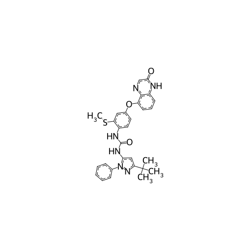 CSc1cc(Oc2cccc3[nH]c(=O)cnc23)ccc1NC(=O)Nc1cc(C(C)(C)C)nn1-c1ccccc1